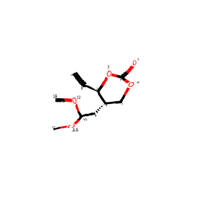 C=C[C@H]1OC(=O)OC[C@@H]1CC(OC)OC